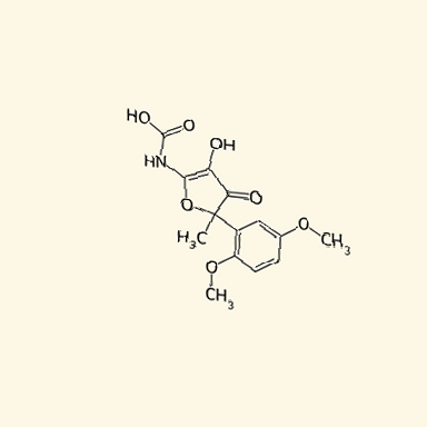 COc1ccc(OC)c(C2(C)OC(NC(=O)O)=C(O)C2=O)c1